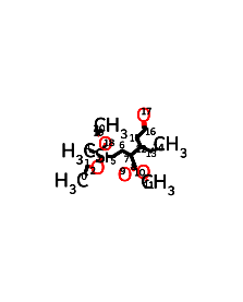 CCO[Si](C)(CCC(C(=O)OC)C(CC)CC=O)OCC